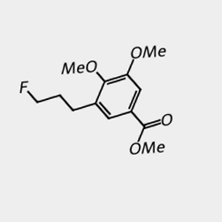 COC(=O)c1cc(CCCF)c(OC)c(OC)c1